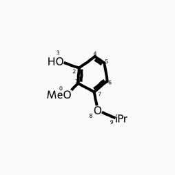 COc1c(O)cccc1OC(C)C